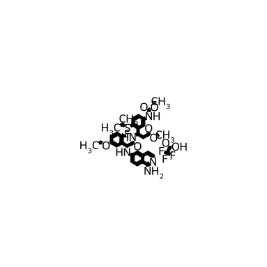 CCOc1ccc(F)c([C@@H](Nc2ccc3c(N)nccc3c2)C(=O)NC(CC(=O)OC)c2cc(NC(=O)OC)ccc2SC(C)C)c1.O=C(O)C(F)(F)F